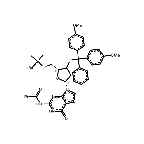 COc1ccc(C(OC2C[C@H](n3cnc4c(=O)[nH]c(NC(=O)C(C)C)nc43)O[C@@H]2CO[Si](C)(C)C(C)(C)C)(c2ccccc2)c2ccc(OC)cc2)cc1